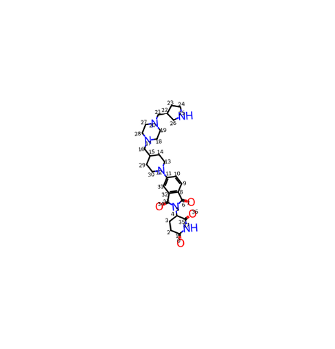 O=C1CCC(N2C(=O)c3ccc(N4CCC(CN5CCN(C[C@H]6CCNC6)CC5)CC4)cc3C2=O)C(=O)N1